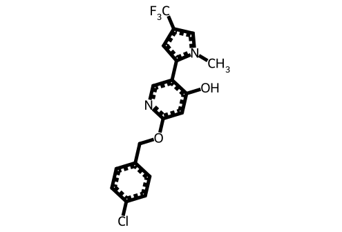 Cn1cc(C(F)(F)F)cc1-c1cnc(OCc2ccc(Cl)cc2)cc1O